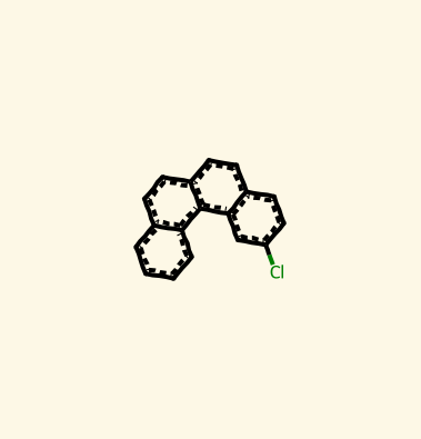 Clc1ccc2ccc3ccc4ccccc4c3c2c1